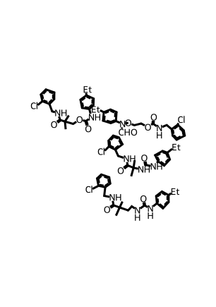 CCc1ccc(N(C=O)OCCOC(=O)NCc2ccccc2Cl)cc1.CCc1ccc(NC(=O)NC(C)(C)C(=O)NCc2ccccc2Cl)cc1.CCc1ccc(NC(=O)NCCC(C)(C)C(=O)NCc2ccccc2Cl)cc1.CCc1ccc(NC(=O)OCC(C)(C)C(=O)NCc2ccccc2Cl)cc1